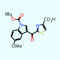 COc1ccc2c(c1)c(C(=O)c1nc(C(=O)O)cs1)cn2C(=O)OC(C)(C)C